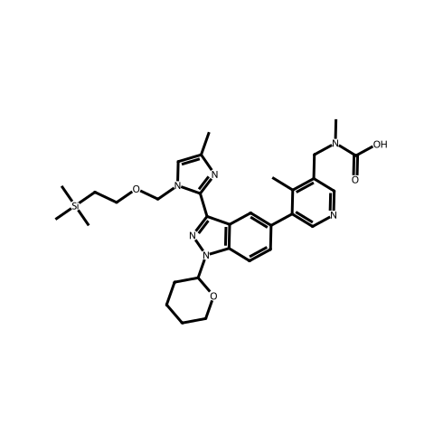 Cc1cn(COCC[Si](C)(C)C)c(-c2nn(C3CCCCO3)c3ccc(-c4cncc(CN(C)C(=O)O)c4C)cc23)n1